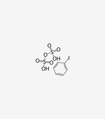 Ic1ccccc1.O=S(=O)(O)OS(=O)(=O)O